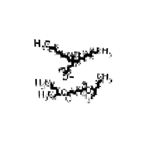 CCCCC(CC)COC(=O)CCCCC(=O)OCC(CC)CCCC.CCCCCCCCC(CCCCCCCC)(CCCC(=O)O)C(=O)O